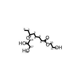 CCC(CCCCC(=O)OCCO)OCC(O)CO